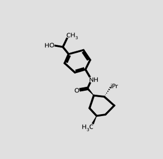 CC(O)c1ccc(NC(=O)[C@@H]2C[C@H](C)CC[C@H]2C(C)C)cc1